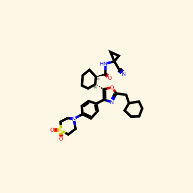 N#CC1(NC(=O)[C@@H]2CCCC[C@H]2c2oc(CC3CCCCC3)nc2-c2ccc(N3CCS(=O)(=O)CC3)cc2)CC1